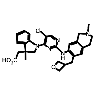 CN1CCc2cc(CC3COC3)c(Nc3ncc(Cl)c(N4CC(C)(CC(=O)O)c5ccccc54)n3)cc2C1